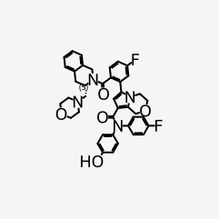 O=C(c1cc(-c2cc(F)ccc2C(=O)N2Cc3ccccc3C[C@H]2CN2CCOCC2)n2c1COCC2)N(c1ccc(O)cc1)c1ccc(F)cc1